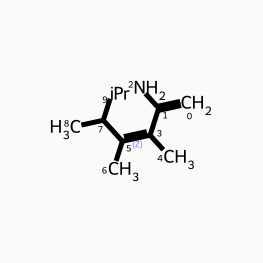 C=C(N)/C(C)=C(/C)C(C)C(C)C